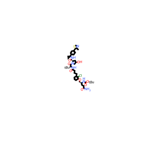 Cc1ncsc1-c1ccc(C2(NC(=O)[C@@H]3C[C@@H](O)CN3C(=O)[C@@H](NC(=O)CCCc3cccc(OC[C@H](CCC(N)=O)NC(=O)OC(C)(C)C)c3Cl)C(C)(C)C)CC2)cc1